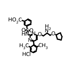 Cc1cccc(C)c1-c1cc(OC[C@H](N)COC2CCCC2)nc(NS(=O)(=O)c2cccc(C(=O)O)c2)n1.Cl